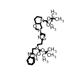 CC(C)(C)OC(=O)N(CCc1nc(N(C=O)CC2CCCCN2C(=O)OC(C)(C)C)cs1)Cc1nc2ccccc2[nH]1